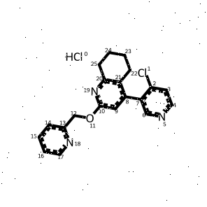 Cl.Clc1ccncc1-c1cc(OCc2ccccn2)nc2c1CCCC2